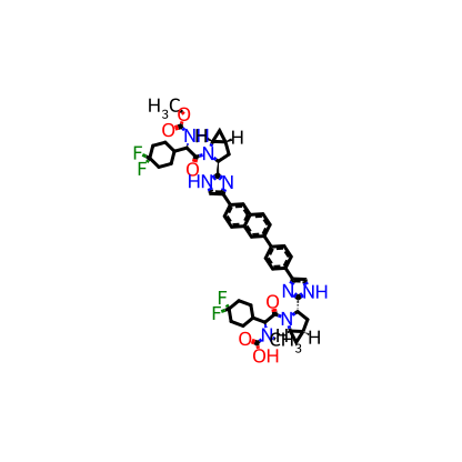 COC(=O)N[C@H](C(=O)N1[C@@H]2C[C@@H]2C[C@H]1c1nc(-c2ccc3cc(-c4ccc(-c5c[nH]c([C@@H]6C[C@H]7C[C@H]7N6C(=O)[C@H](C6CCC(F)(F)CC6)N(C)C(=O)O)n5)cc4)ccc3c2)c[nH]1)C1CCC(F)(F)CC1